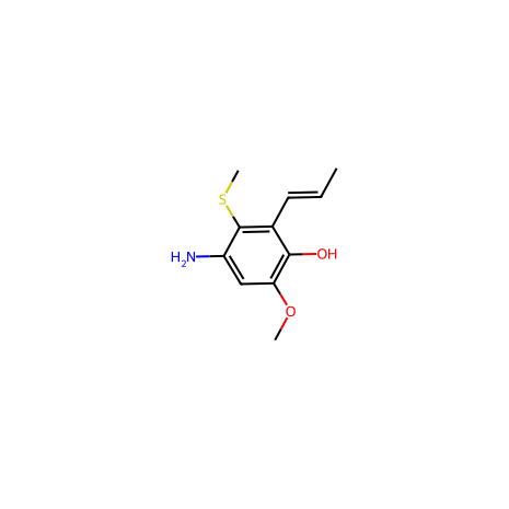 C/C=C/c1c(O)c(OC)cc(N)c1SC